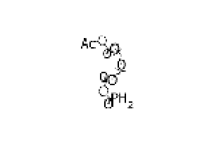 CC(=O)C1CCCC(C(=O)OC(C)(C)CCOC(C)(C)CCOC(=O)C2CCCC(C(=O)P)C2)C1